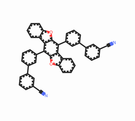 N#Cc1cccc(-c2cccc(-c3c4oc5ccccc5c4c(-c4cccc(-c5cccc(C#N)c5)c4)c4oc5ccccc5c34)c2)c1